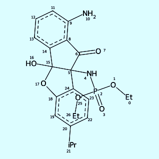 CCOP(=O)(NC12C(=O)c3c(N)cccc3C1(O)Oc1cc(C(C)C)ccc12)OCC